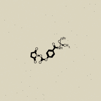 CCCOP(C)NC(=O)c1ccc(OC(=O)ON2C(=O)CCC2=O)cc1